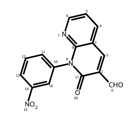 O=Cc1cc2cccnc2n(-c2cccc([N+](=O)[O-])c2)c1=O